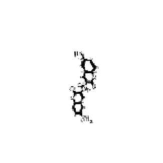 Nc1ccc2oc(=O)c(S(=O)(=O)c3cc4cc(N)ccc4oc3=O)cc2c1